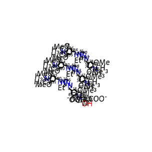 CCc1n(N=Cc2cc(OC)c(N(C)C)c(OC)c2)cc[n+]1N=Cc1cc(OC)c(N(C)C)c(OC)c1.CCc1n(N=Cc2cc(OC)c(N(C)C)c(OC)c2)cc[n+]1N=Cc1cc(OC)c(N(C)C)c(OC)c1.CCc1n(N=Cc2cc(OC)c(N(C)C)c(OC)c2)cc[n+]1N=Cc1cc(OC)c(N(C)C)c(OC)c1.O=C([O-])CC(O)(CC(=O)[O-])C(=O)[O-]